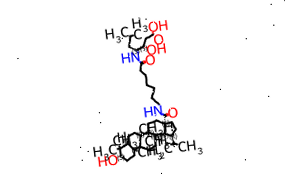 C=C(C)[C@@H]1CC[C@]2(C(=O)NCCCCCCC(=O)N[C@@H](CC(C)C)[C@@H](O)CC(=O)O)CC[C@]3(C)[C@H](CCC4[C@@]5(C)CC[C@H](O)C(C)(C)[C@@H]5CC[C@]43C)[C@@H]12